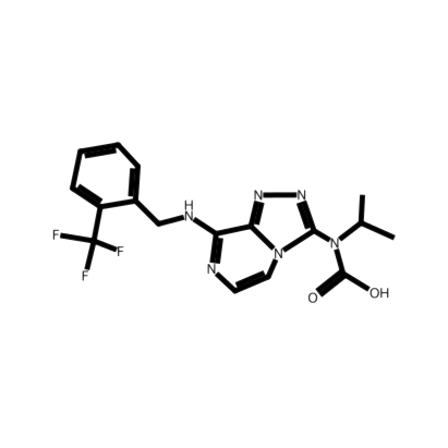 CC(C)N(C(=O)O)c1nnc2c(NCc3ccccc3C(F)(F)F)nccn12